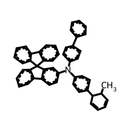 CC1C=CC=CC1c1ccc(N(c2ccc(-c3ccccc3)cc2)c2ccc3c(c2)C2(c4ccccc4-c4ccccc42)c2ccccc2-3)cc1